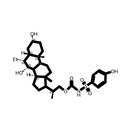 CC[C@H]1[C@@H](O)C2C(CCC3(C)C([C@H](C)COC(=O)NS(=O)(=O)c4ccc(O)cc4)CC[C@@H]23)[C@@]2(C)CC[C@@H](O)C[C@@H]12